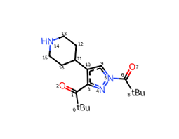 CC(C)(C)C(=O)c1nn(C(=O)C(C)(C)C)cc1C1CCNCC1